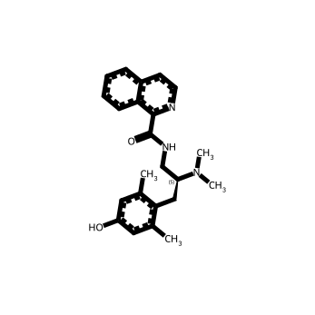 Cc1cc(O)cc(C)c1C[C@@H](CNC(=O)c1nccc2ccccc12)N(C)C